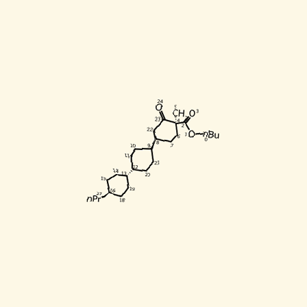 CCCCOC(=O)[C@@]1(C)CC[C@@H](C2CCC([C@H]3CC[C@H](CCC)CC3)CC2)CC1=O